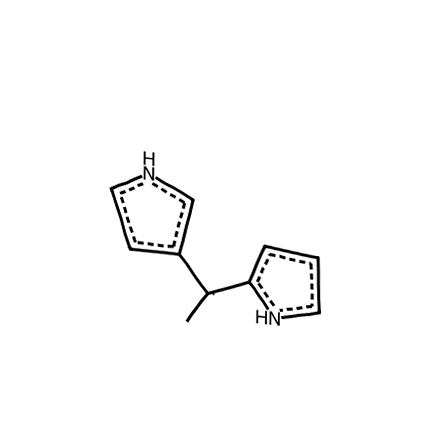 C[C](c1cc[nH]c1)c1ccc[nH]1